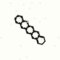 C1=c2cc3cc4cc5ccccc5nc4cc3cc2=CCC1